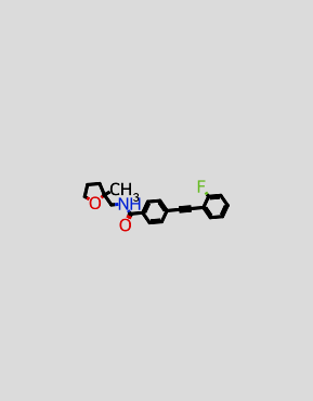 CC1(CNC(=O)c2ccc(C#Cc3ccccc3F)cc2)CCCO1